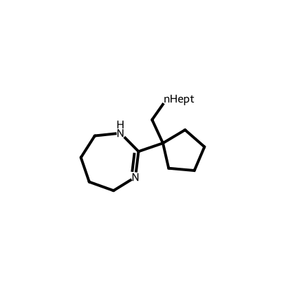 CCCCCCCCC1(C2=NCCCCN2)CCCC1